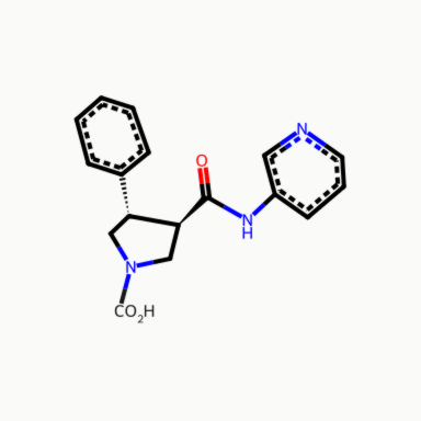 O=C(Nc1cccnc1)[C@H]1CN(C(=O)O)C[C@@H]1c1ccccc1